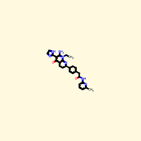 CCn1c(N)c(-c2ncc[nH]2)c(=O)c2ccc(-c3ccc(CC(=O)Nc4cccc(C)n4)cc3)nc21